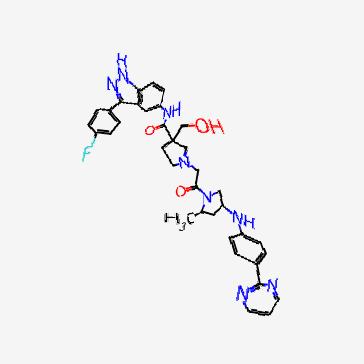 C[C@@H]1C[C@H](Nc2ccc(-c3ncccn3)cc2)CN1C(=O)CN1CCC(CO)(C(=O)Nc2ccc3[nH]nc(-c4ccc(F)cc4)c3c2)C1